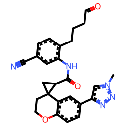 Cn1cc(-c2ccc3c(c2)C2(CCO3)CC2C(=O)Nc2cc(C#N)ccc2CCCC=O)nn1